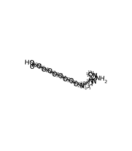 CCCCc1nc2c(N)nc3ccccc3c2n1CCCC[N+](C)(C)CCOCCOCCOCCOCCOCCOCCOCCOCCC(=O)O